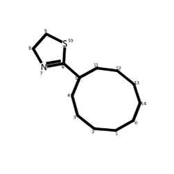 C1CCCCC(C2=NCCS2)CCCC1